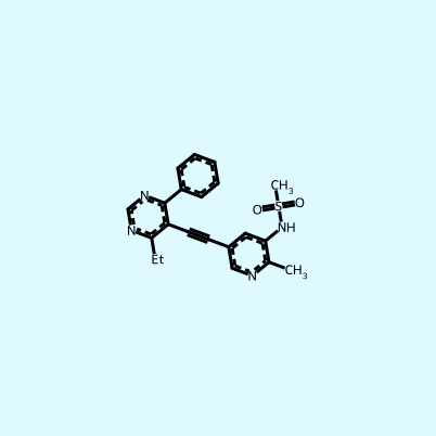 CCc1ncnc(-c2ccccc2)c1C#Cc1cnc(C)c(NS(C)(=O)=O)c1